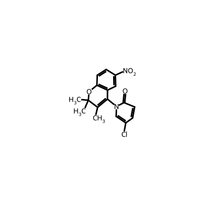 CC1=C(n2cc(Cl)ccc2=O)c2cc([N+](=O)[O-])ccc2OC1(C)C